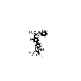 C=C/C(=C\C)Nc1ncc(-c2ccc(CC(C)NCc3ccccn3)c(F)c2)cn1